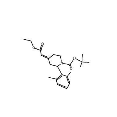 CCOC(=O)C=C1CCN(C(=O)OC(C)(C)C)C(c2c(C)cccc2C)C1